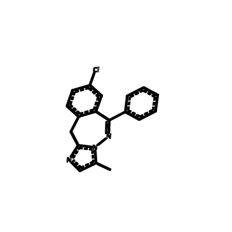 Cc1cnc2n1N=C(c1ccccc1)c1cc(Cl)ccc1C2